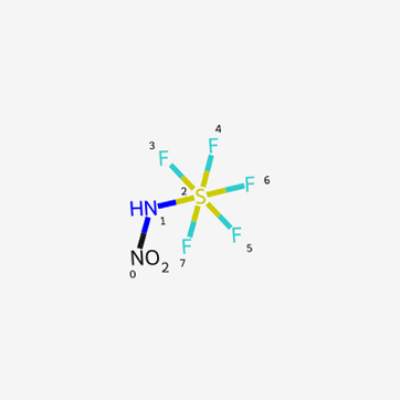 O=[N+]([O-])NS(F)(F)(F)(F)F